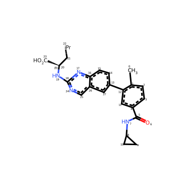 Cc1ccc(C(=O)NC2CC2)cc1-c1ccc2nc(N[C@H](CC(C)C)C(=O)O)ncc2c1